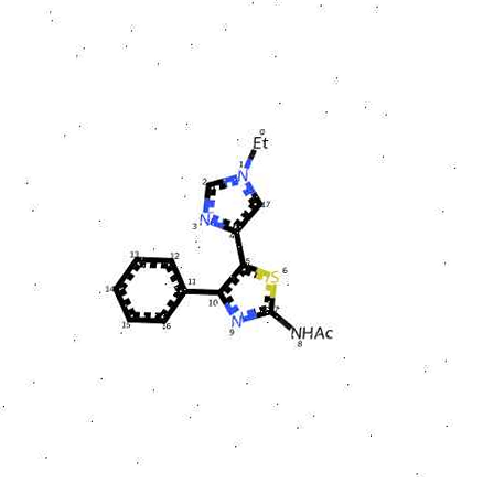 CCn1cnc(-c2sc(NC(C)=O)nc2-c2ccccc2)c1